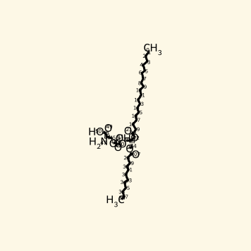 CCCCCCCCCCCCCCCCCCCCC(=O)O[C@H](COC(=O)CCCCCCCCCCC)COP(=O)(O)OC[C@H](N)C(=O)O